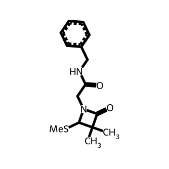 CSC1N(CC(=O)NCc2ccccc2)C(=O)C1(C)C